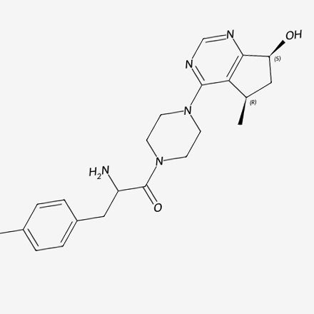 C[C@@H]1C[C@H](O)c2ncnc(N3CCN(C(=O)C(N)Cc4ccc(F)cc4)CC3)c21